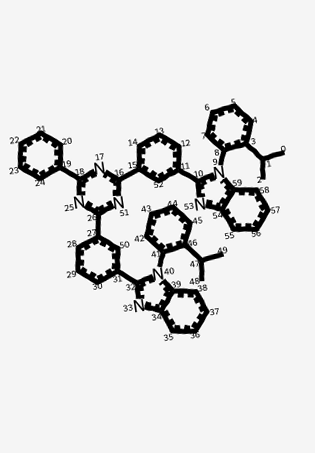 CC(C)c1ccccc1-n1c(-c2cccc(-c3nc(-c4ccccc4)nc(-c4cccc(-c5nc6ccccc6n5-c5ccccc5C(C)C)c4)n3)c2)nc2ccccc21